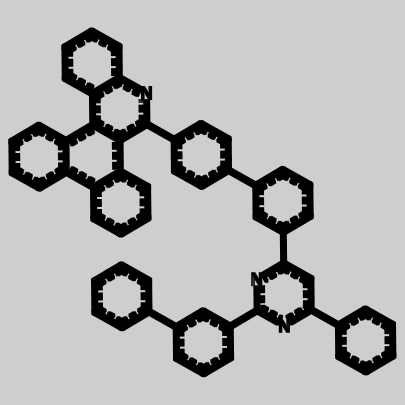 c1ccc(-c2cccc(-c3nc(-c4ccccc4)cc(-c4cccc(-c5ccc(-c6nc7ccccc7c7c8ccccc8c8ccccc8c67)cc5)c4)n3)c2)cc1